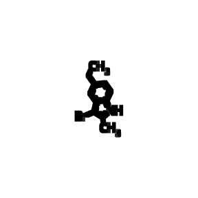 CCc1ccc2[nH]c(C)c(Br)c2c1